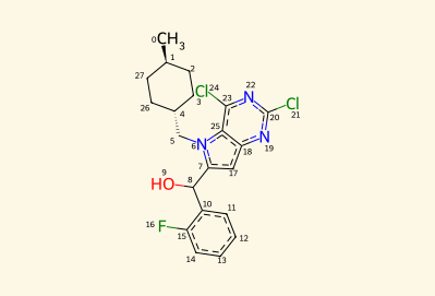 C[C@H]1CC[C@H](Cn2c(C(O)c3ccccc3F)cc3nc(Cl)nc(Cl)c32)CC1